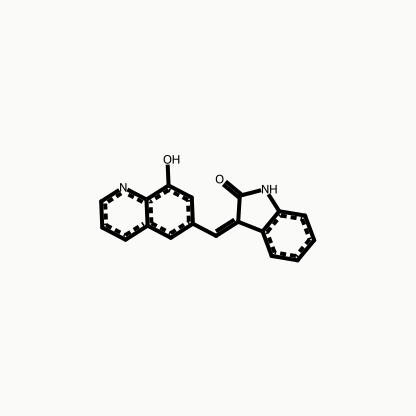 O=C1Nc2ccccc2/C1=C/c1cc(O)c2ncccc2c1